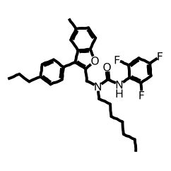 CCCCCCCN(Cc1oc2ccc(C)cc2c1-c1ccc(CCC)cc1)C(=O)Nc1c(F)cc(F)cc1F